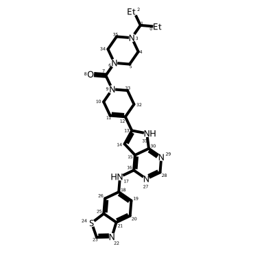 CCC(CC)N1CCN(C(=O)N2CC=C(c3cc4c(Nc5ccc6ncsc6c5)ncnc4[nH]3)CC2)CC1